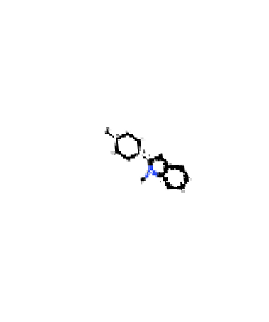 Cn1c2ccccc2cc1[C@H]1CC[C@H](C)CC1